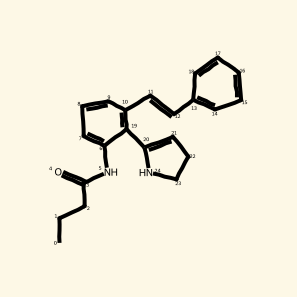 CCCC(=O)Nc1cccc(/C=C/c2ccccc2)c1C1=CCCN1